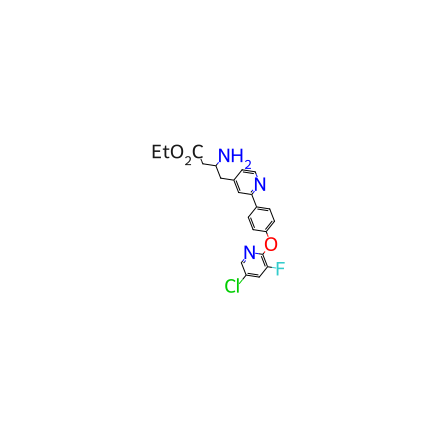 CCOC(=O)CC(N)Cc1ccnc(-c2ccc(Oc3ncc(Cl)cc3F)cc2)c1